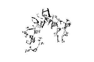 CC1=C(NC(=O)C2=CC=CC(N3CCOCC3)N2)N2N=C(c3ccccc3C(F)(F)F)C=CC2N1